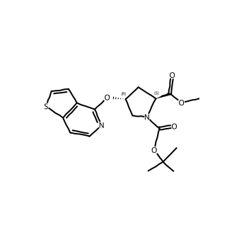 COC(=O)[C@@H]1C[C@@H](Oc2nccc3sccc23)CN1C(=O)OC(C)(C)C